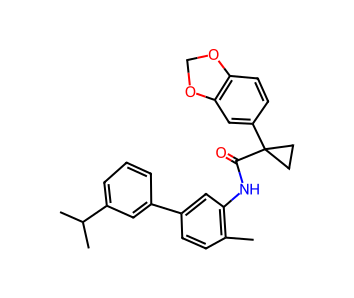 Cc1ccc(-c2cccc(C(C)C)c2)cc1NC(=O)C1(c2ccc3c(c2)OCO3)CC1